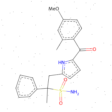 COc1ccc(C(=O)c2ccc(CC(C)(c3ccccc3)S(N)(=O)=O)[nH]2)c(C)c1